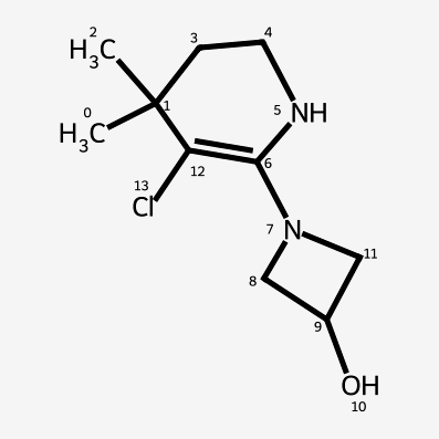 CC1(C)CCNC(N2CC(O)C2)=C1Cl